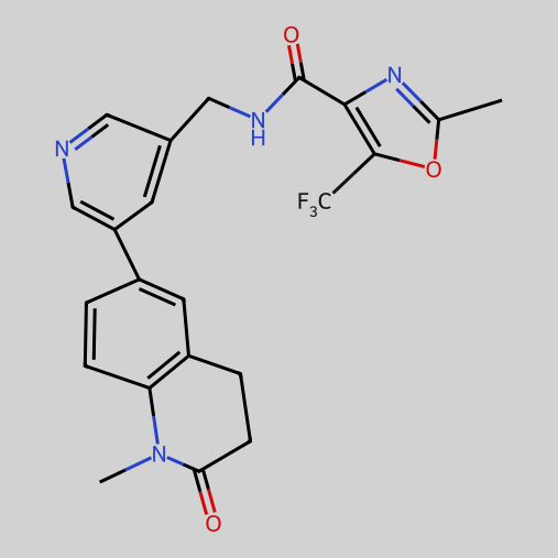 Cc1nc(C(=O)NCc2cncc(-c3ccc4c(c3)CCC(=O)N4C)c2)c(C(F)(F)F)o1